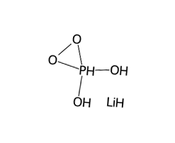 O[PH]1(O)OO1.[LiH]